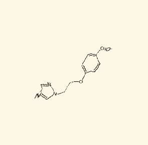 O=[C]c1ccc(OCCn2cncn2)cc1